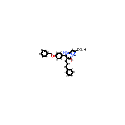 O=C(O)c1cc2[nH]c(-c3ccc(OCc4ccccc4)cc3)c(CCCc3ccccc3)c(=O)n2n1